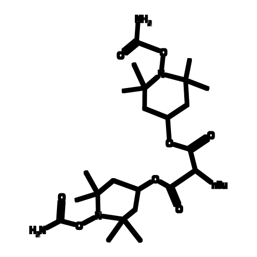 CCCCC(C(=O)OC1CC(C)(C)N(OC(N)=O)C(C)(C)C1)C(=O)OC1CC(C)(C)N(OC(N)=O)C(C)(C)C1